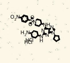 Cl.Cl.NC1CCC(Nc2nc(NC3CCN(S(=O)(=O)c4ccc([N+](=O)[O-])cc4)CC3)c3ncn(C4CCCC4)c3n2)CC1